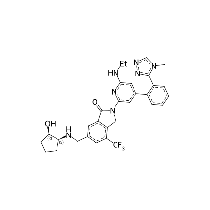 CCNc1cc(-c2ccccc2-c2nncn2C)cc(N2Cc3c(cc(CN[C@H]4CCC[C@H]4O)cc3C(F)(F)F)C2=O)n1